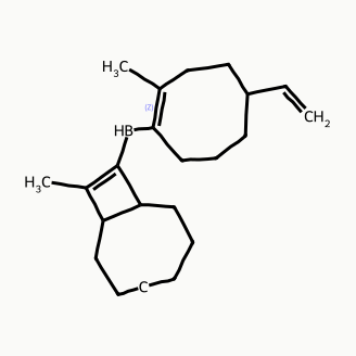 C=CC1CCC/C(BC2=C(C)C3CCCCCCC23)=C(/C)CC1